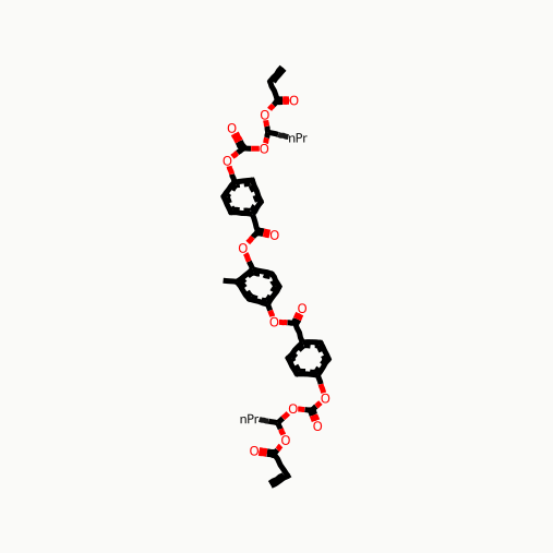 C=CC(=O)OC(CCC)OC(=O)Oc1ccc(C(=O)Oc2ccc(OC(=O)c3ccc(OC(=O)OC(CCC)OC(=O)C=C)cc3)c(C)c2)cc1